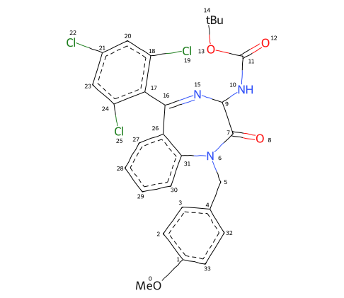 COc1ccc(CN2C(=O)C(NC(=O)OC(C)(C)C)N=C(c3c(Cl)cc(Cl)cc3Cl)c3ccccc32)cc1